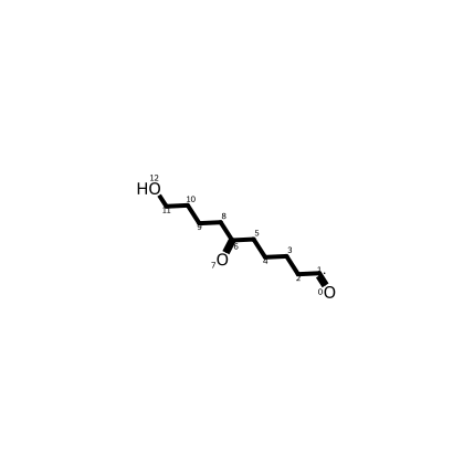 O=[C]CCCCC(=O)CCCCO